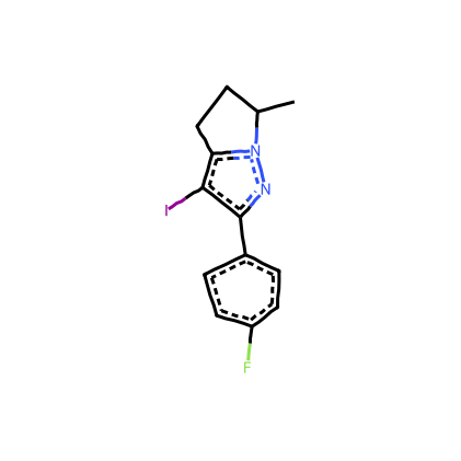 CC1CCc2c(I)c(-c3ccc(F)cc3)nn21